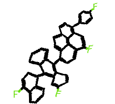 Fc1ccc(-c2ccc3ccc4c(-c5c6ccccc6c(-c6ccc(F)c7ccccc67)c6cc(F)ccc56)ccc5c(F)cc2c3c54)cc1